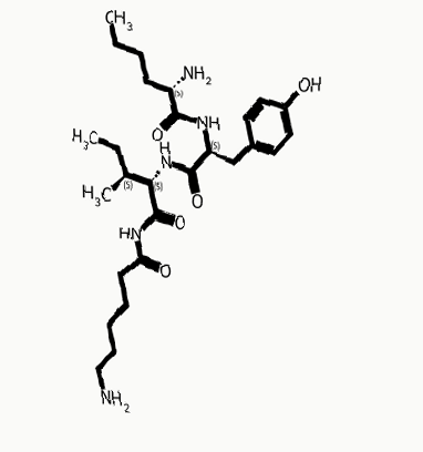 CCCC[C@H](N)C(=O)N[C@@H](Cc1ccc(O)cc1)C(=O)N[C@H](C(=O)NC(=O)CCCCCN)[C@@H](C)CC